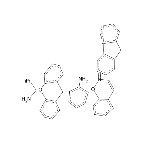 C1=Cc2ccccc2ON1.CC(C)CN.Nc1ccccc1.c1ccc2c(c1)Cc1ccccc1-2.c1ccc2c(c1)Cc1ccccc1O2